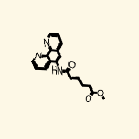 COC(=O)CCCCC(=O)Nc1cc2cccnc2c2ncccc12